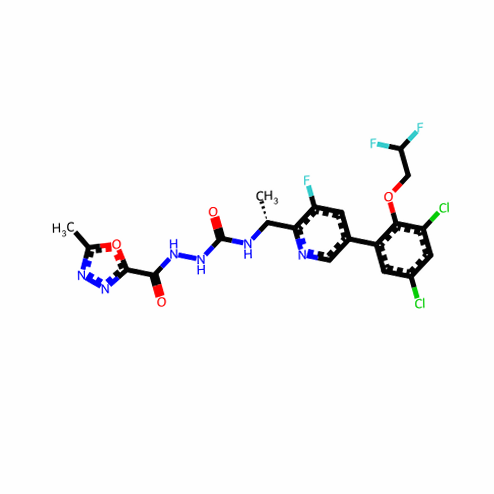 Cc1nnc(C(=O)NNC(=O)N[C@H](C)c2ncc(-c3cc(Cl)cc(Cl)c3OCC(F)F)cc2F)o1